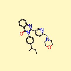 CCC(C)c1ccc(-n2c(-c3ccc(CN4CCOCC4)nc3)nc3ccccc3c2=O)cc1